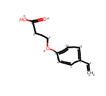 C=Cc1ccc(OCCC(=O)O)cc1